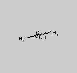 CCCCCCOC(=O)C(O)CCCCCC